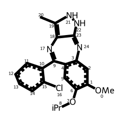 COc1cc2c(cc1OC(C)C)C(c1ccccc1Cl)=NC1=C(C)NNC1=N2